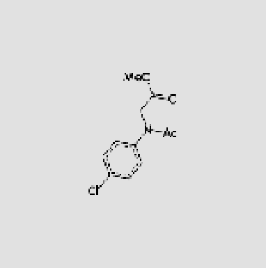 COC(=O)CN(C(C)=O)c1ccc(Cl)cc1